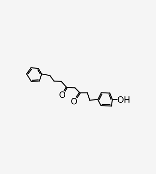 O=C(CCCc1ccccc1)CC(=O)CCc1ccc(O)cc1